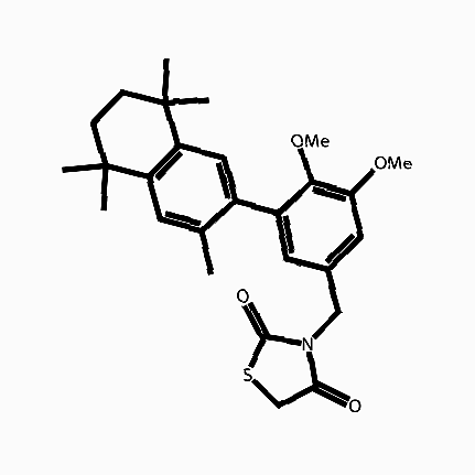 COc1cc(CN2C(=O)CSC2=O)cc(-c2cc3c(cc2C)C(C)(C)CCC3(C)C)c1OC